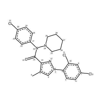 Cc1cn(-c2ccc(Cl)cc2Cl)nc1C(=O)N(c1ccc(Cl)cc1)N1CCCCC1